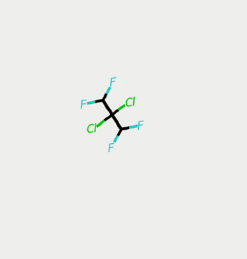 FC(F)C(Cl)(Cl)C(F)F